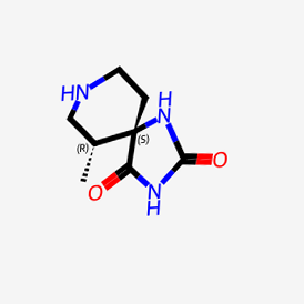 C[C@@H]1CNCC[C@]12NC(=O)NC2=O